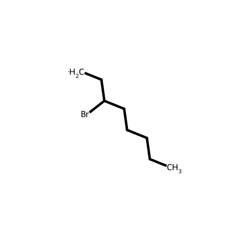 [CH2]CC(Br)CCCCC